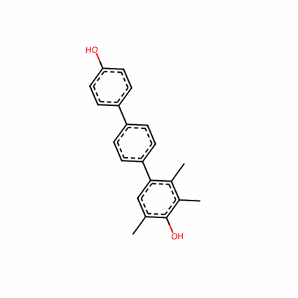 Cc1cc(-c2ccc(-c3ccc(O)cc3)cc2)c(C)c(C)c1O